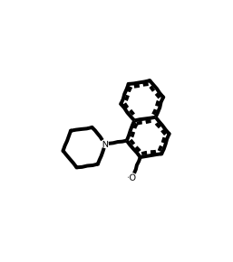 [O]c1ccc2ccccc2c1N1CCCCC1